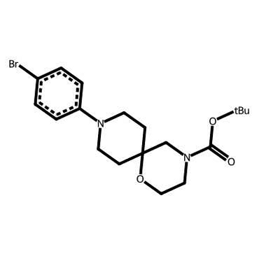 CC(C)(C)OC(=O)N1CCOC2(CCN(c3ccc(Br)cc3)CC2)C1